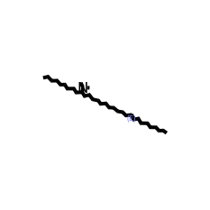 CCCCCCCC/C=C/CCCCCCCCCCCC(CCCCCCCCC)N(C)C